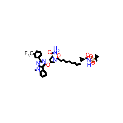 Cn1c2ccccc2c2c(O[C@@H]3C[C@@H](C(N)=O)N(C(=O)CCCCCC/C=C\[C@@H]4C[C@@H]4C(=O)NS(=O)(=O)C4(C)CC4)C3)nc(-c3cccc(C(F)(F)F)c3)nc21